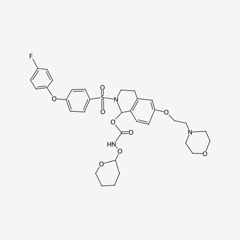 O=C(NOC1CCCCO1)OC1c2ccc(OCCN3CCOCC3)cc2CCN1S(=O)(=O)c1ccc(Oc2ccc(F)cc2)cc1